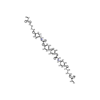 C=CC(=O)OCCCCOc1ccc(/C=C/C(=O)Oc2ccc(-c3ccc(SC(=O)/C=C/c4ccc(OCCCCOC(=O)C=C)cc4)cc3)cc2)cc1